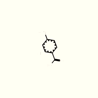 Cl.Nc1ccc(C(=O)O)cc1